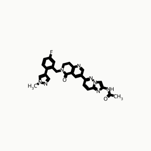 CC(=O)Nc1cn2nc(-c3cnc4c(c3)C(=O)N(Cc3cc(F)ccc3-c3cnn(C)c3)CC4)ccc2n1